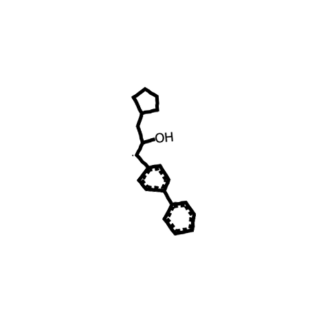 OC([CH]c1ccc(-c2ccccc2)cc1)CC1CCCC1